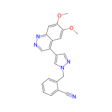 COc1cc2nncc(-c3cnn(Cc4ccccc4C#N)c3)c2cc1OC